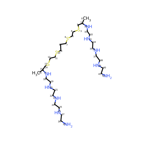 CC(CSCCSCCCSCCSCC(C)NCCNCCNCCNCCN)NCCNCCNCCNCCN